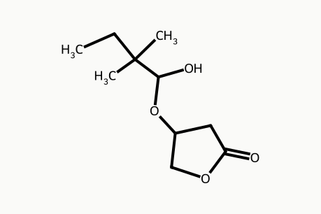 CCC(C)(C)C(O)OC1COC(=O)C1